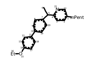 CCCCCc1ccc(C(C)c2ccc(-c3ccc(OCC)cc3)cc2)nc1